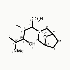 CN[C@@H](C)[C@H](O)[C@H](C)C(C(=O)O)N1CC2CCC(C1)O2